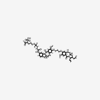 C=CC1=C(/C=C\C)C[C@H]2CNc3cc(OCCCOc4cc5c(cc4OC)C(=O)N4c6cc(NC(=O)CCC(C)(C)SSCCC(C(C)=O)S(=O)(=O)O)ccc6C[C@H]4C=N5)c(OC)cc3C(=O)N12